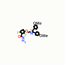 COc1ccc(-c2nc(COc3ccc(F)c(C(N)=O)c3F)sc2-c2cccc(OC)c2)cc1